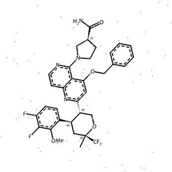 COc1c([C@@H]2C[C@](C)(C(F)(F)F)OC[C@H]2c2cc(OCc3ccccc3)c3c(N4CC[C@H](C(N)=O)C4)nccc3n2)ccc(F)c1F